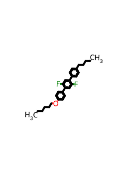 CCCCCCOc1ccc(-c2cc(F)c(-c3ccc(CCCCC)cc3)cc2F)cc1